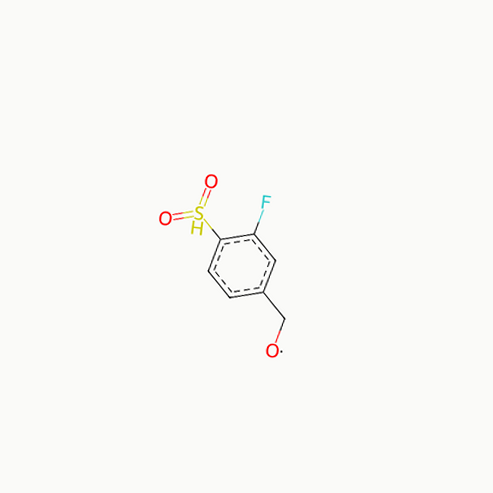 [O]Cc1ccc([SH](=O)=O)c(F)c1